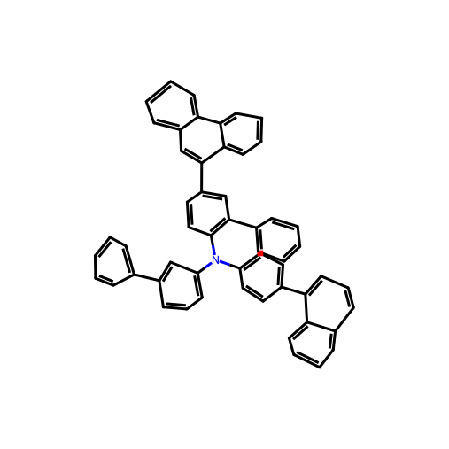 c1ccc(-c2cccc(N(c3ccc(-c4cccc5ccccc45)cc3)c3ccc(-c4cc5ccccc5c5ccccc45)cc3-c3ccccc3)c2)cc1